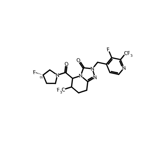 O=C(C1C(C(F)(F)F)CCc2nn(Cc3ccnc(C(F)(F)F)c3F)c(=O)n21)N1CC[C@H](F)C1